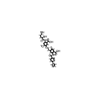 COc1cc(NC(=O)C(=N)/C=C\C=N)c(C(=O)O)cc1OCCc1cc(NC(=O)c2ccc(-n3ccnc3)nn2)c(C(=O)O)cc1F